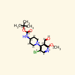 COc1ncc(Br)c(N2CCC(NC(=O)OC(C)(C)C)CC2)c1C=O